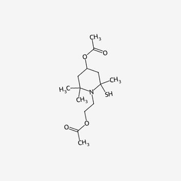 CC(=O)OCCN1C(C)(C)CC(OC(C)=O)CC1(C)S